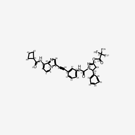 O=C(Nc1cccn2c(C#Cc3cccc(NC(=O)N4N=C(OC(=O)C(F)(F)F)CC4c4ccccc4)c3)cnc12)C1CCC1